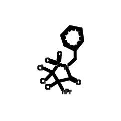 CCCC1(Cl)C(=O)N(Cc2ccccc2)S(=O)(=O)C1(Cl)Cl